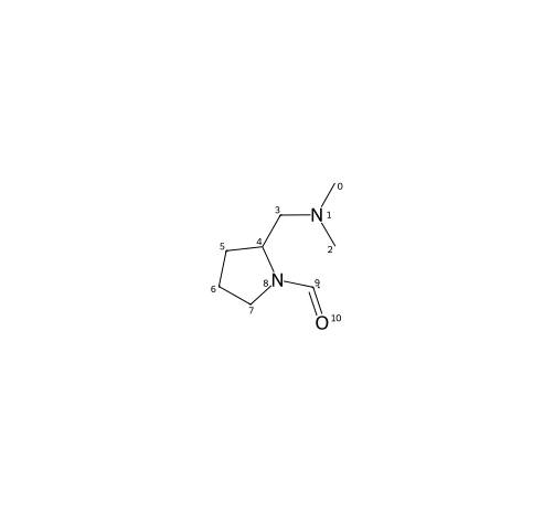 CN(C)CC1CCCN1[C]=O